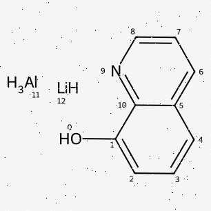 Oc1cccc2cccnc12.[AlH3].[LiH]